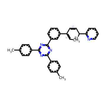 C/C=C(\C=C/C(CC)c1ccccn1)c1cccc(-c2nc(-c3ccc(C)cc3)nc(-c3ccc(C)cc3)n2)c1